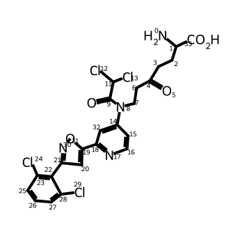 NC(CCC(=O)CCN(C(=O)C(Cl)Cl)c1ccnc(-c2cc(-c3c(Cl)cccc3Cl)no2)c1)C(=O)O